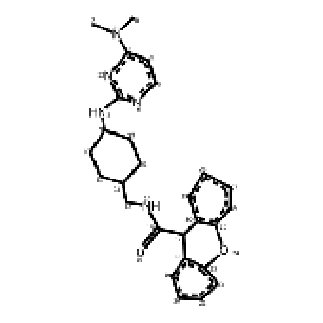 CN(C)c1ccnc(NC2CCC(CNC(=O)C3c4ccccc4Oc4ccccc43)CC2)n1